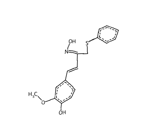 COc1cc(C=CC(CSc2ccccc2)=NO)ccc1O